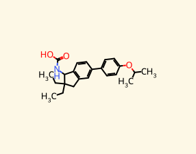 CCC1(CC)Cc2cc(-c3ccc(OC(C)C)cc3)ccc2C1NC(=O)O